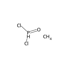 C.O=[PH](Cl)Cl